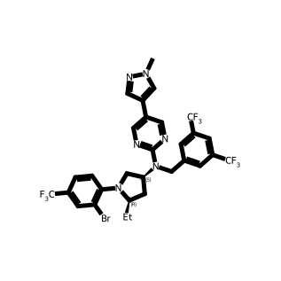 CC[C@@H]1C[C@H](N(Cc2cc(C(F)(F)F)cc(C(F)(F)F)c2)c2ncc(-c3cnn(C)c3)cn2)CN1c1ccc(C(F)(F)F)cc1Br